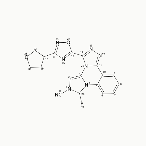 N#CN1C=C2N(c3ccccc3-c3nnc(-c4nc(C5CCOC5)no4)n32)C1F